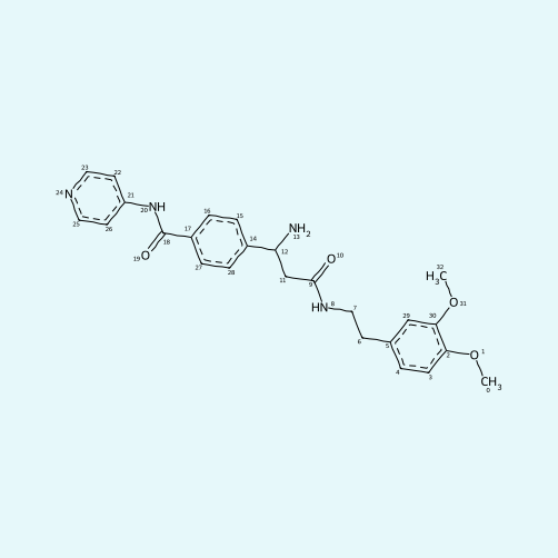 COc1ccc(CCNC(=O)CC(N)c2ccc(C(=O)Nc3ccncc3)cc2)cc1OC